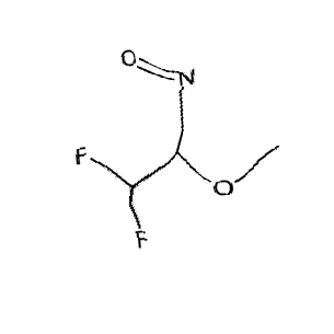 COC(N=O)C(F)F